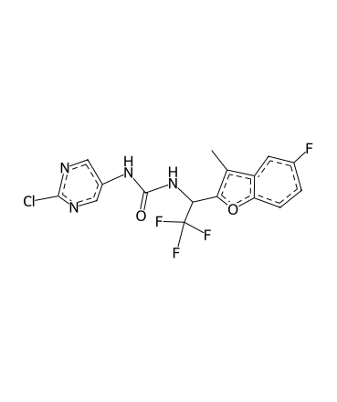 Cc1c(C(NC(=O)Nc2cnc(Cl)nc2)C(F)(F)F)oc2ccc(F)cc12